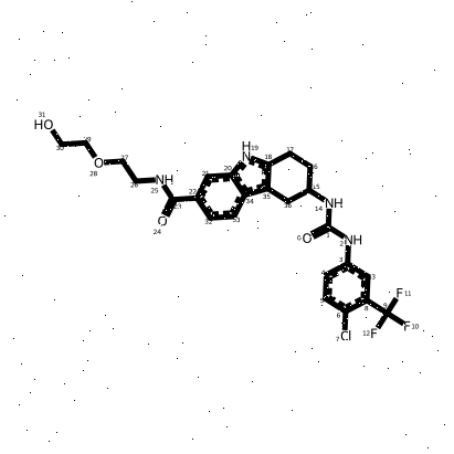 O=C(Nc1ccc(Cl)c(C(F)(F)F)c1)NC1CCc2[nH]c3cc(C(=O)NCCOCCO)ccc3c2C1